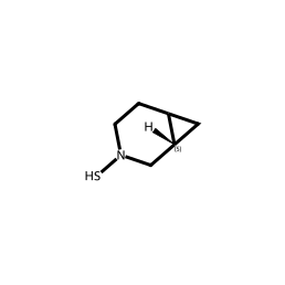 SN1CCC2C[C@@H]2C1